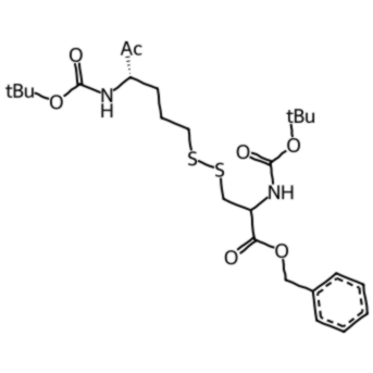 CC(=O)[C@H](CCCSSCC(NC(=O)OC(C)(C)C)C(=O)OCc1ccccc1)NC(=O)OC(C)(C)C